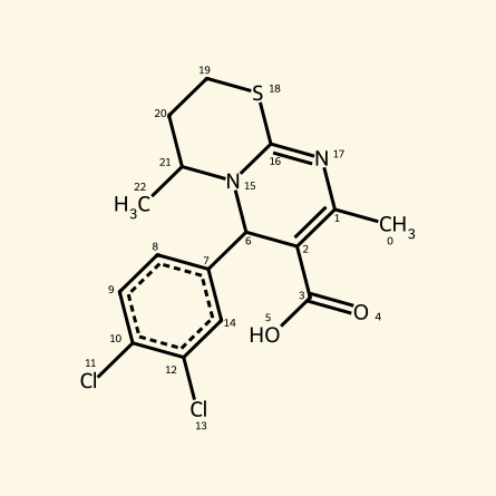 CC1=C(C(=O)O)C(c2ccc(Cl)c(Cl)c2)N2C(=N1)SCCC2C